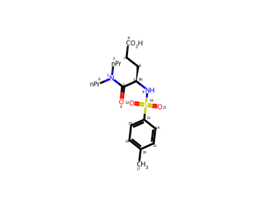 CCCN(CCC)C(=O)[C@@H](CCC(=O)O)NS(=O)(=O)c1ccc(C)cc1